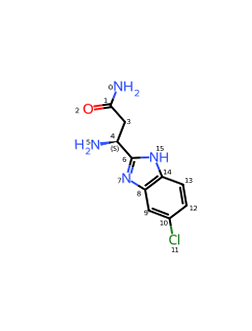 NC(=O)C[C@H](N)c1nc2cc(Cl)ccc2[nH]1